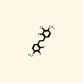 Cc1ccc(CCc2ccc(C)c(Cl)c2F)c(F)c1F